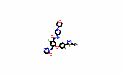 CC(C)c1nnc(-c2ccc(Oc3cc(C(=O)NC4CCN(C5CCOCC5)CC4)c(F)cc3Cn3cnccc3=O)cc2F)s1